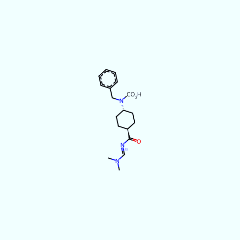 CN(C)/C=N/C(=O)[C@H]1CC[C@H](N(Cc2ccccc2)C(=O)O)CC1